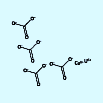 O=C([O-])[O-].O=C([O-])[O-].O=C([O-])[O-].O=C([O-])[O-].[Ca+2].[U+6]